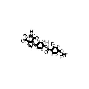 CNC(=O)c1ncn(-c2ccc(NC(=O)c3ccc(OC(F)F)cc3F)cc2)c1C(N)=O